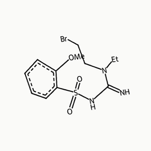 CCN(CCBr)C(=N)NS(=O)(=O)c1ccccc1OC